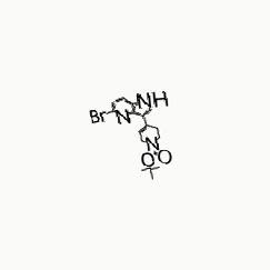 CC(C)(C)OC(=O)N1CC=C(c2c[nH]c3ccc(Br)nc23)CC1